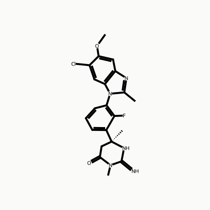 COc1cc2nc(C)n(-c3cccc([C@]4(C)CC(=O)N(C)C(=N)N4)c3F)c2cc1Cl